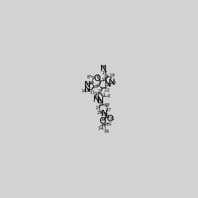 Cc1c(-c2cc(O[C@H](C)c3ccn(C)n3)c3c(C#N)cnn3c2)cnn1C1CCN(C(=O)OC(C)(C)C)CC1